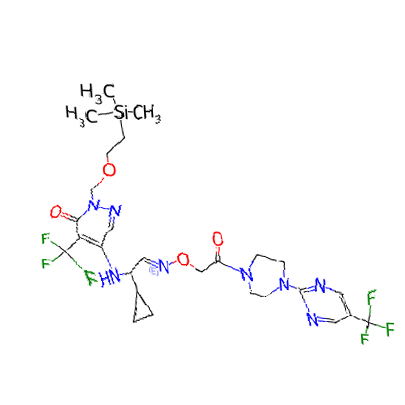 C[Si](C)(C)CCOCn1ncc(NC(/C=N/OCC(=O)N2CCN(c3ncc(C(F)(F)F)cn3)CC2)C2CC2)c(C(F)(F)F)c1=O